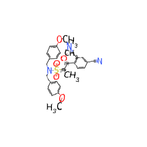 COc1ccc(CN(Cc2ccc(OC)cc2)S(=O)(=O)[C@H](C)[C@H](OC)c2ccc(C#N)cc2C#N)cc1